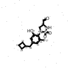 O=CC1CN(c2c(O)cc(CC3CCC3)cc2F)S(=O)(=O)N1